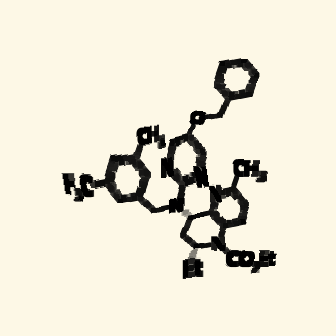 CCOC(=O)N1c2ccc(C)nc2[C@@H](N(Cc2cc(C)cc(C(F)(F)F)c2)c2ncc(OCc3ccccc3)cn2)C[C@H]1CC